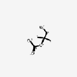 CC(C)(CBr)OC(=O)Cl